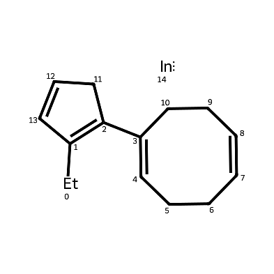 CCC1=C(C2=CCCC=CCC2)CC=C1.[In]